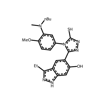 CCCCN(C)c1cc(-n2c(S)nnc2-c2cc3c(CC)n[nH]c3cc2O)ccc1OC